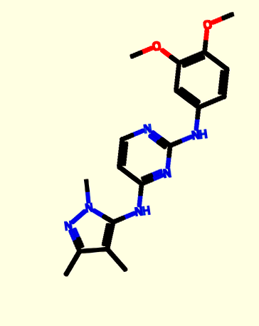 COc1ccc(Nc2nccc(Nc3c(C)c(C)nn3C)n2)cc1OC